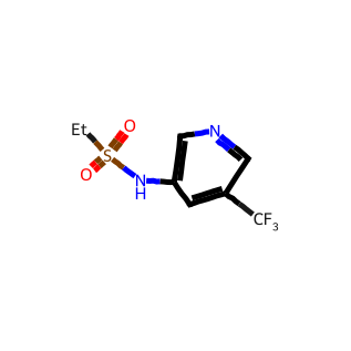 CCS(=O)(=O)Nc1cncc(C(F)(F)F)c1